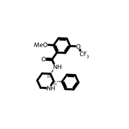 COc1ccc(OC(F)(F)F)cc1C(=O)N[C@H]1CCCN[C@H]1c1ccccc1